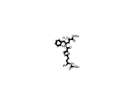 CCCCC(=O)NC(CCc1nc(C(=O)NC(Cc2ccccc2)CC(C)C(=O)OC)cs1)C(C)C